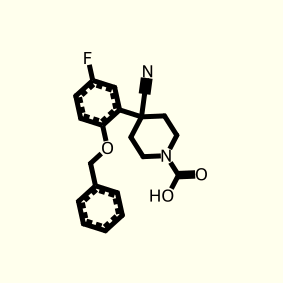 N#CC1(c2cc(F)ccc2OCc2ccccc2)CCN(C(=O)O)CC1